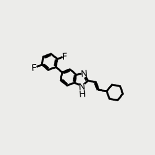 Fc1ccc(F)c(-c2ccc3[nH]c(C=CC4CCCCC4)nc3c2)c1